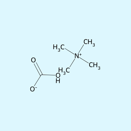 C[N+](C)(C)C.O=C([O-])O